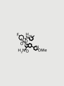 COc1ccc(-c2ccc3c(c2)c(C(N)=O)cn3CC(=O)N2CCC(F)CC[C@H]2C(=O)Nc2cccc(C)n2)cn1